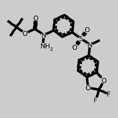 CN(c1ccc2c(c1)OC(F)(F)O2)S(=O)(=O)c1cccc(N(N)C(=O)OC(C)(C)C)c1